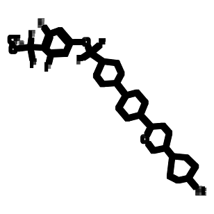 CCC1CCC(C2CCC(C3CCC(C4CCC(C(F)(F)Oc5cc(F)c(C(F)(F)OC(F)(F)F)c(F)c5)CC4)CC3)OC2)CC1